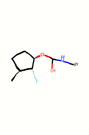 CC(C)NC(O)O[C@@H]1CC[C@H](C)[C@H]1F